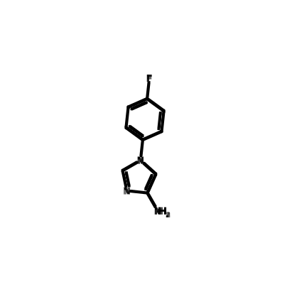 Nc1cn(-c2ccc(F)cc2)cn1